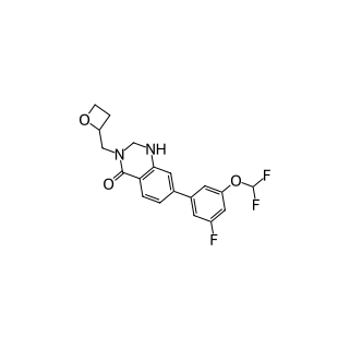 O=C1c2ccc(-c3cc(F)cc(OC(F)F)c3)cc2NCN1CC1CCO1